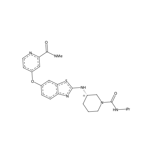 CNC(=O)c1cc(Oc2ccc3nc(N[C@H]4CCCN(C(=O)NC(C)C)C4)sc3c2)ccn1